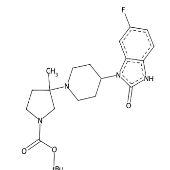 CC(C)(C)OC(=O)N1CCC(C)(N2CCC(n3c(=O)[nH]c4ccc(F)cc43)CC2)C1